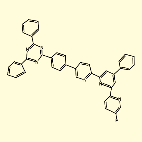 Fc1ccc(-c2cc(-c3ccccc3)cc(-c3ccc(-c4ccc(-c5nc(-c6ccccc6)nc(-c6ccccc6)n5)cc4)cn3)n2)nc1